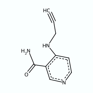 C#CCNc1ccncc1C(N)=O